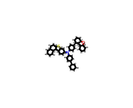 c1ccc(-c2ccc(N(c3ccc(-c4cccc5oc6ccccc6c45)cc3)c3ccc4c(c3)sc3ccc5ccccc5c34)cc2)cc1